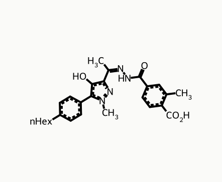 CCCCCCc1ccc(-c2c(O)c(/C(C)=N\NC(=O)c3ccc(C(=O)O)c(C)c3)nn2C)cc1